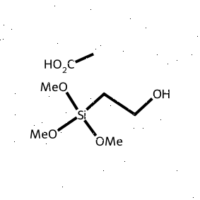 CC(=O)O.CO[Si](CCO)(OC)OC